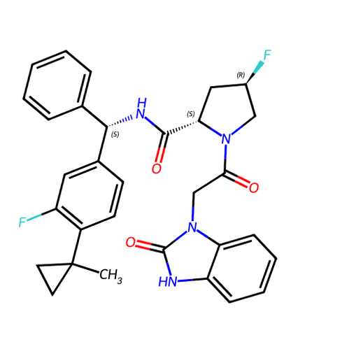 CC1(c2ccc([C@@H](NC(=O)[C@@H]3C[C@@H](F)CN3C(=O)Cn3c(=O)[nH]c4ccccc43)c3ccccc3)cc2F)CC1